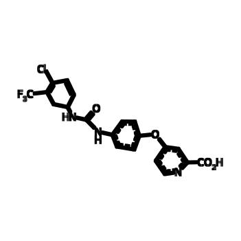 O=C(Nc1ccc(Oc2ccnc(C(=O)O)c2)cc1)NC1C=CC(Cl)=C(C(F)(F)F)C1